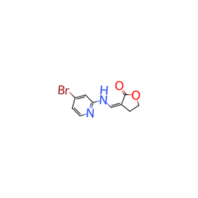 O=C1OCC/C1=C/Nc1cc(Br)ccn1